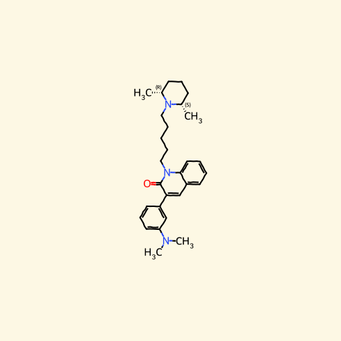 C[C@@H]1CCC[C@H](C)N1CCCCCn1c(=O)c(-c2cccc(N(C)C)c2)cc2ccccc21